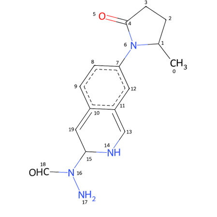 CC1CCC(=O)N1c1ccc2c(c1)=CNC(N(N)C=O)C=2